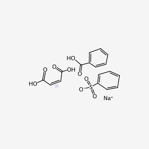 O=C(O)/C=C\C(=O)O.O=C(O)c1ccccc1.O=S(=O)([O-])c1ccccc1.[Na+]